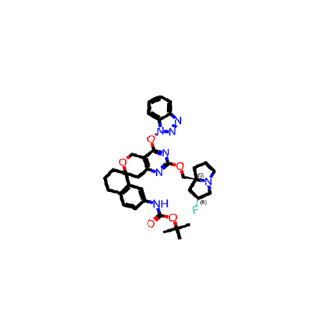 CC(C)(C)OC(=O)Nc1ccc2c(c1)C1(CCC2)Cc2nc(OC[C@@]34CCCN3C[C@H](F)C4)nc(On3nnc4ccccc43)c2CO1